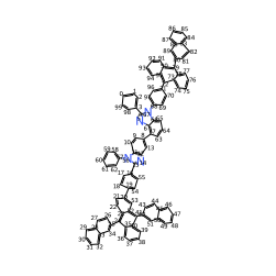 c1ccc(-c2nc3c(-c4ccc5c(c4)nc(-c4ccc(-c6ccc7c(-c8ccc9ccccc9c8)c8ccccc8c(-c8ccc9ccccc9c8)c7c6)cc4)n5-c4ccccc4)cccc3n2-c2ccc(-c3c4ccccc4c(-c4ccc5ccccc5c4)c4ccccc34)cc2)cc1